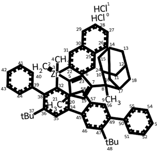 Cl.Cl.[CH2]=[Zr]([CH3])([C]1=CC(C2(C)C3CC4CC(C3)CC2C4)=CC1C)([c]1ccc2ccccc2c1)[c]1c2c(cc(C(C)(C)C)c1-c1ccccc1)-c1cc(C(C)(C)C)c(-c3ccccc3)cc1C2